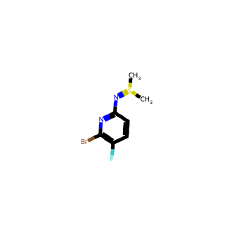 CS(C)=Nc1ccc(F)c(Br)n1